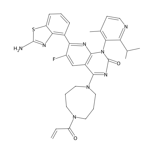 C=CC(=O)N1CCCN(c2nc(=O)n(-c3c(C)ccnc3C(C)C)c3nc(-c4cccc5sc(N)nc45)c(F)cc23)CCC1